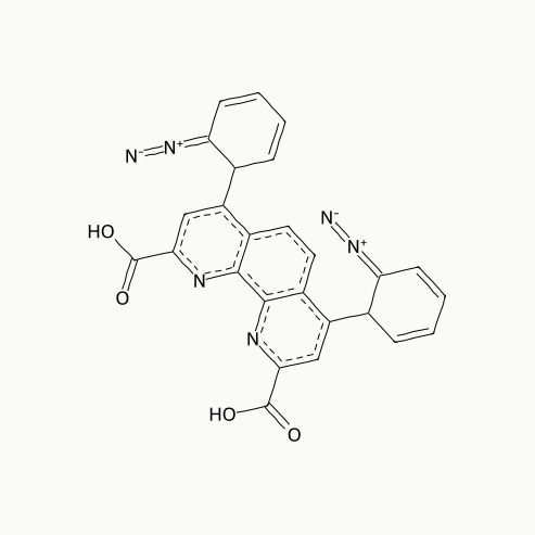 [N-]=[N+]=C1C=CC=CC1c1cc(C(=O)O)nc2c1ccc1c(C3C=CC=CC3=[N+]=[N-])cc(C(=O)O)nc12